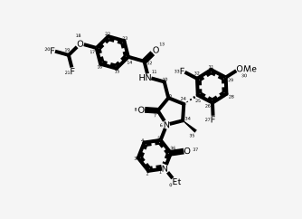 CCn1cccc(N2C(=O)C(CNC(=O)c3ccc(OC(F)F)cc3)[C@H](c3c(F)cc(OC)cc3F)[C@H]2C)c1=O